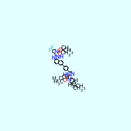 CC(C)(C)OC(=O)N1CC(F)(F)CC1c1nc2ccc3cc(-c4ccc(-c5cnc([C@@H]6C[C@H]7C[Si](C)(C)C[C@@H]7CN6C(=O)OC(C)(C)C)[nH]5)cc4)ccc3c2[nH]1